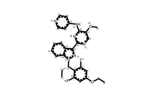 CCOc1cc(F)c([C@H](CC)n2nc(-c3ncc(OC)c(Nc4ccncc4)n3)c3ccccc32)c(F)c1